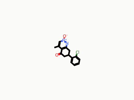 Cc1c[n+]([O-])nc2c1C(=O)CC(c1ccccc1Cl)C2